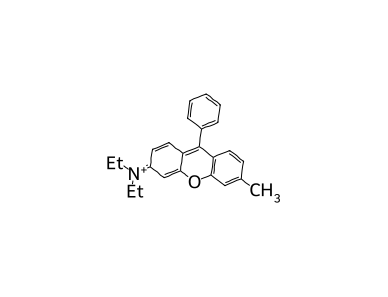 CC[N+](CC)=c1ccc2c(-c3ccccc3)c3ccc(C)cc3oc-2c1